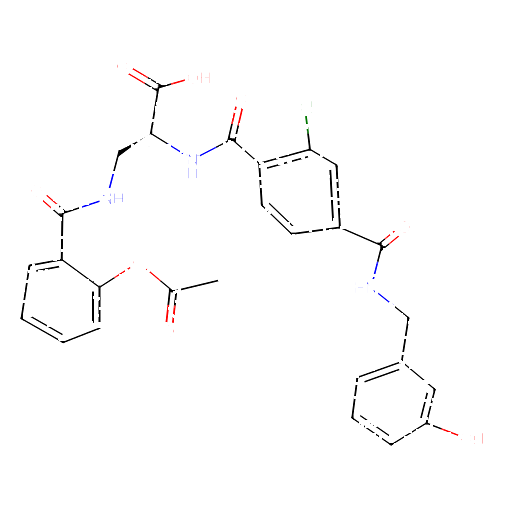 CC(=O)Oc1ccccc1C(=O)NC[C@H](NC(=O)c1ccc(C(=O)NCc2cccc(O)c2)cc1Cl)C(=O)O